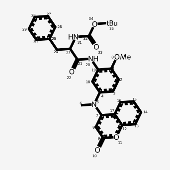 COc1ccc(N(C)c2cc(=O)oc3ccccc23)cc1NC(=O)C(Cc1ccccc1)NC(=O)OC(C)(C)C